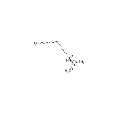 B[C@H]1C[C@H](NC(=O)CCCCCCC/C=C\CCCCCCCC)[C@@H](COC)O1